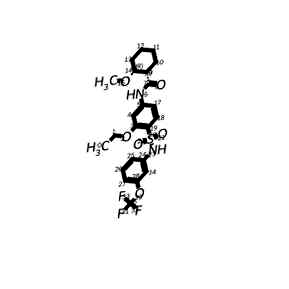 CCOc1cc(NC(=O)[C@H]2CCCC[C@H]2OC)ccc1S(=O)(=O)Nc1cccc(OC(F)(F)F)c1